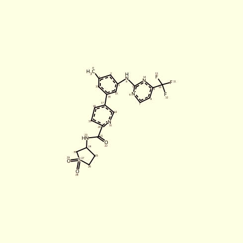 Cc1cc(Nc2nccc(C(F)(F)F)n2)cc(-c2ccc(C(=O)NC3CCS(=O)(=O)C3)nc2)c1